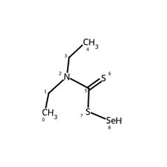 CCN(CC)C(=S)S[SeH]